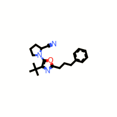 CC(C)(C)c1nc(CCCc2ccccc2)oc1N1CCCC1C#N